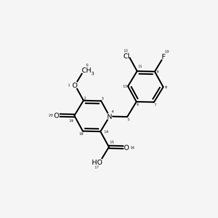 COc1cn(Cc2ccc(F)c(Cl)c2)c(C(=O)O)cc1=O